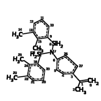 C=C(C)c1ccc(N([SiH2]c2cccc(C)c2C)[SiH2]c2cccc(C)c2C)cc1